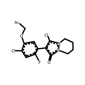 CC(=O)COc1cc(-c2c(Cl)n3n(c2=O)CCCC3)c(F)cc1Cl